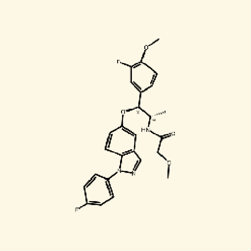 COCC(=O)N[C@@H](C)[C@@H](Oc1ccc2c(cnn2-c2ccc(F)cc2)c1)c1ccc(OC)c(F)c1